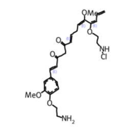 C=C/C=C(OCCNCl)\C(=C/C/C=C/C(=O)CC(=O)/C=C/c1ccc(OCCN)c(OC)c1)OC